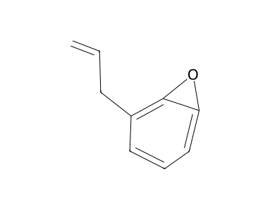 C=CCc1cccc2c1O2